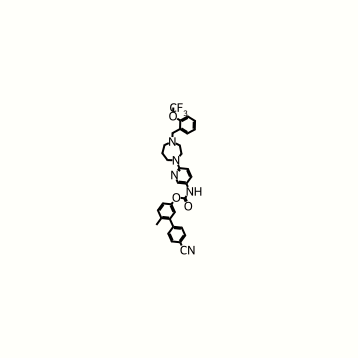 Cc1ccc(OC(=O)Nc2ccc(N3CCCN(Cc4ccccc4OC(F)(F)F)CC3)nc2)cc1-c1ccc(C#N)cc1